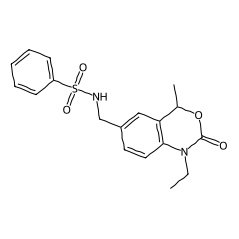 CCN1C(=O)OC(C)c2cc(CNS(=O)(=O)c3ccccc3)ccc21